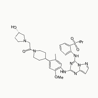 COc1cc(C2CCN(C(=O)CN3CC[C@H](O)C3)CC2)c(C)cc1Nc1nc(Nc2ccccc2S(=O)(=O)C(C)C)n2nccc2n1